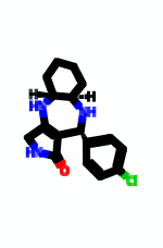 O=C1NCC2=C1[C@@H](c1ccc(Cl)cc1)N[C@@H]1CCCC[C@H]1N2